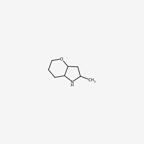 CC1CC2OCCCC2N1